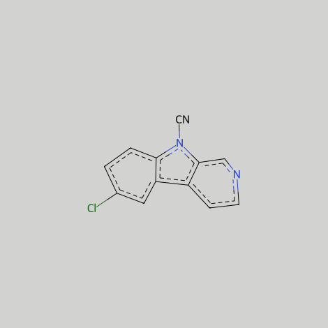 N#Cn1c2ccc(Cl)cc2c2ccncc21